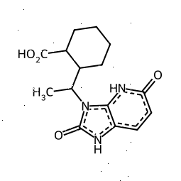 CC(C1CCCCC1C(=O)O)n1c(=O)[nH]c2ccc(=O)[nH]c21